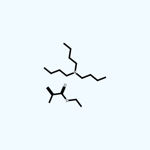 C=C(C)C(=O)OCC.CCCCN(CCCC)CCCC